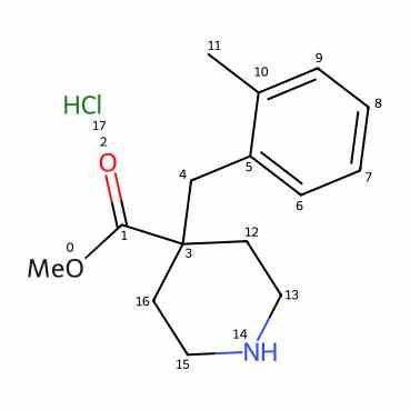 COC(=O)C1(Cc2ccccc2C)CCNCC1.Cl